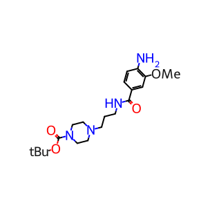 COc1cc(C(=O)NCCCN2CCN(C(=O)OC(C)(C)C)CC2)ccc1N